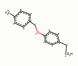 O=C(O)Cc1ccc(OCc2ccc(C(F)(F)F)cc2)cc1